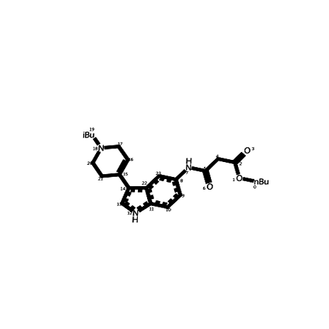 CCCCOC(=O)CC(=O)Nc1ccc2[nH]cc(C3=CCN(C(C)CC)CC3)c2c1